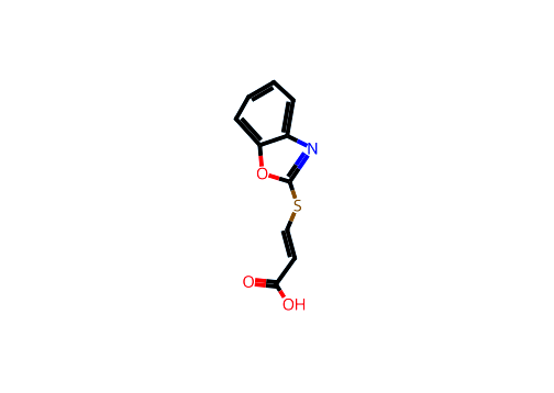 O=C(O)C=CSc1nc2ccccc2o1